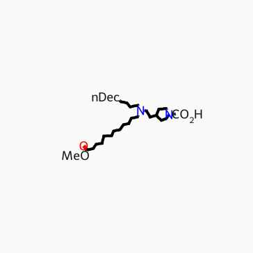 CCCCCCCCCCCCCCN(CCCCCCCCCCCC(=O)OC)CCC1CCN(C(=O)O)CC1